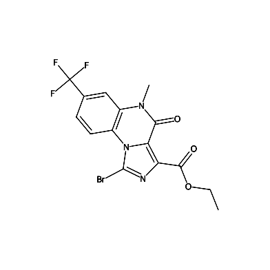 CCOC(=O)c1nc(Br)n2c1c(=O)n(C)c1cc(C(F)(F)F)ccc12